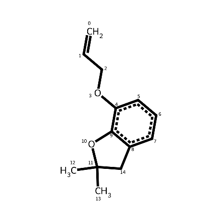 C=CCOc1cccc2c1OC(C)(C)C2